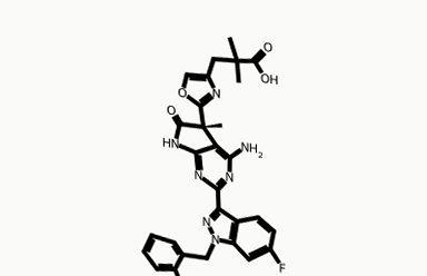 CC(C)(Cc1coc([C@@]2(C)C(=O)Nc3nc(-c4nn(Cc5ccccc5F)c5cc(F)ccc45)nc(N)c32)n1)C(=O)O